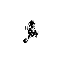 Cc1ncoc1C(=O)Nc1ccc(OCCN2CCCC2)c(-c2c(C)ncnc2C)c1